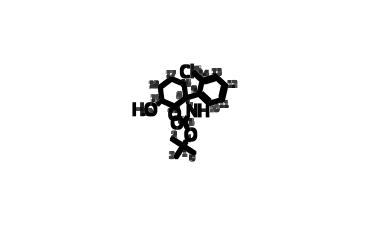 CC(C)(C)OC(=O)N[C@@]1(c2ccccc2Cl)CCC[C@H](O)C1=O